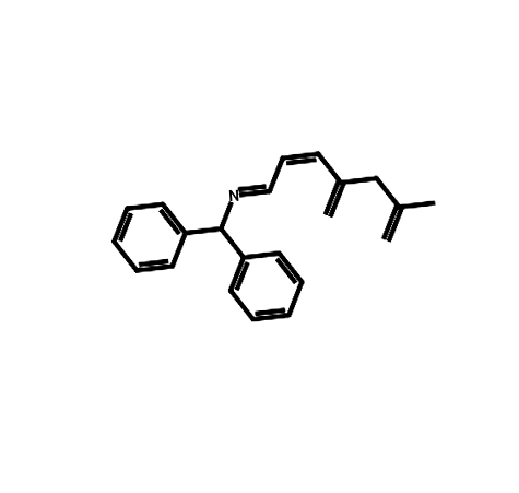 C=C(C)CC(=C)/C=C\C=N\C(c1ccccc1)c1ccccc1